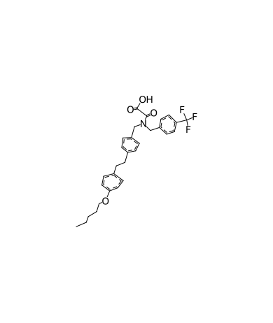 CCCCCOc1ccc(CCc2ccc(CN(Cc3ccc(C(F)(F)F)cc3)C(=O)C(=O)O)cc2)cc1